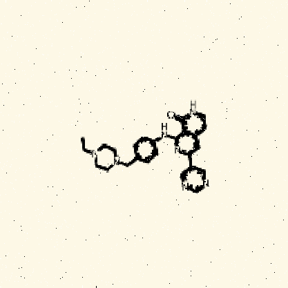 CCN1CCN(Cc2ccc(Nc3nc(-c4cncnc4)cc4cc[nH]c(=O)c34)cc2)CC1